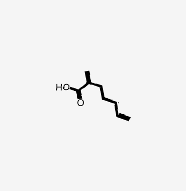 C=C[CH]CCC(=C)C(=O)O